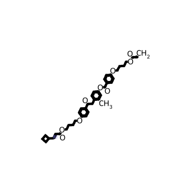 C=CC(=O)OCCCCOc1ccc(C(=O)Oc2ccc(CC(=O)c3ccc(OCCCCOC(=O)/C=C/C4CCC4)cc3)c(C)c2)cc1